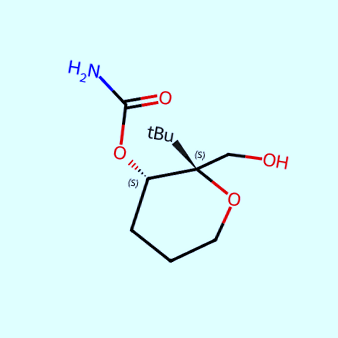 CC(C)(C)[C@@]1(CO)OCCC[C@@H]1OC(N)=O